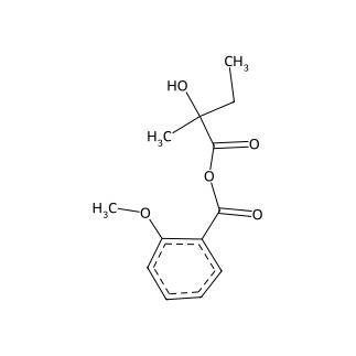 CCC(C)(O)C(=O)OC(=O)c1ccccc1OC